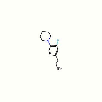 CC(C)CCc1ccc(N2CCCCC2)c(F)c1